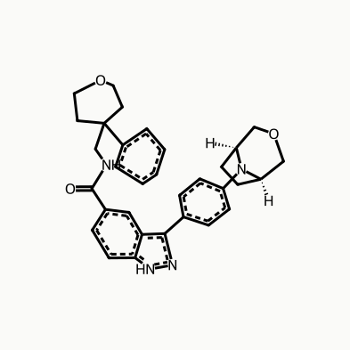 O=C(NCC1(c2ccccc2)CCOCC1)c1ccc2[nH]nc(-c3ccc(N4[C@@H]5CC[C@H]4COC5)cc3)c2c1